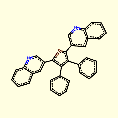 c1ccc(-c2c(-c3cnc4ccccc4c3)sc(-c3cnc4ccccc4c3)c2-c2ccccc2)cc1